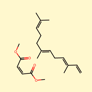 C=C/C(C)=C/C/C=C(\C)CCC=C(C)C.COC(=O)/C=C\C(=O)OC